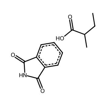 CCC(C)C(=O)O.O=C1NC(=O)c2ccccc21